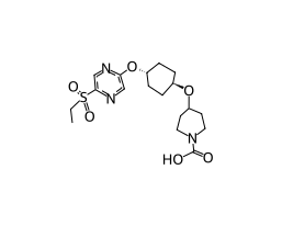 CCS(=O)(=O)c1cnc(O[C@H]2CC[C@H](OC3CCN(C(=O)O)CC3)CC2)cn1